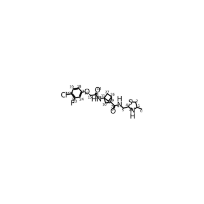 CC1CSC(CNC(=O)C2CC3(NC(=O)COc4ccc(Cl)c(F)c4)CC2C3)N1